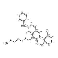 NCCOCCOn1c(=O)c(-c2c(Cl)cccc2Cl)cc2cnc(Nc3ccccc3)nc21